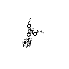 CCCCc1ccc(N(Cc2ccc(C(=O)NC(=N)/N=N\N)cc2)C(=O)Nc2cccc(N)c2)cc1